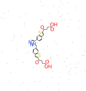 O=C(O)CCC(=O)c1cc2ccc(Cn3nncc3-c3ccc4cc(C(=O)CCC(=O)O)sc4c3)cc2s1